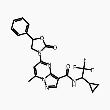 Cc1cc(N2CC(c3ccccc3)OC2=O)nc2c(C(=O)NC(C3CC3)C(F)(F)F)cnn12